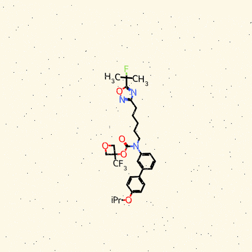 CC(C)Oc1ccc(-c2cccc(N(CCCCCc3noc(C(C)(C)F)n3)C(=O)OC3(C(F)(F)F)COC3)c2)cc1